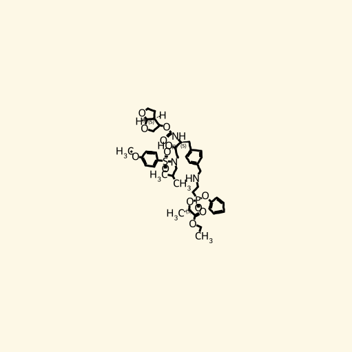 CCOC(=O)[C@H](C)OP(=O)(CCNCc1ccc(C[C@H](NC(=O)OC2CO[C@H]3OCC[C@@H]23)[C@H](O)CN(CC(C)C)S(=O)(=O)c2ccc(OC)cc2)cc1)Oc1ccccc1